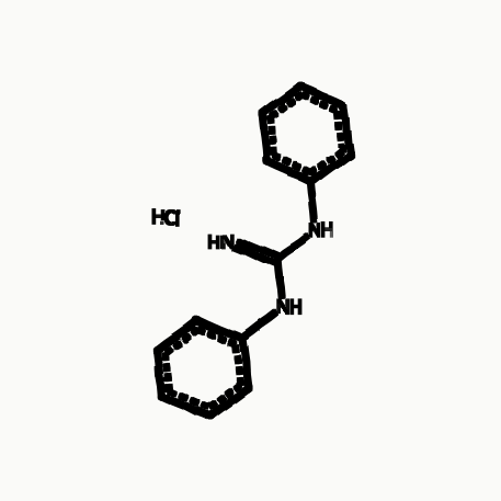 Cl.N=C(Nc1ccccc1)Nc1ccccc1